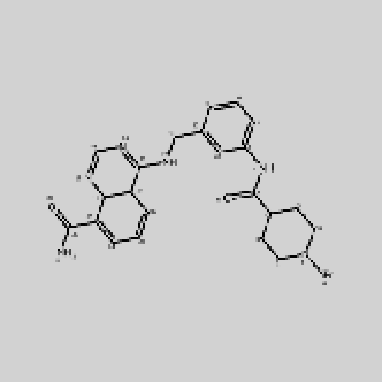 CC(C)N1CCC(C(=O)Nc2cccc(CNC3=NC=NC4C(C(N)=O)=CC=CC34)c2)CC1